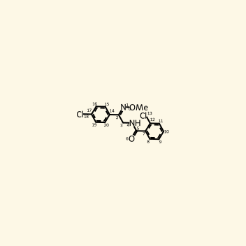 CON=C(CNC(=O)c1ccccc1Cl)c1ccc(Cl)cc1